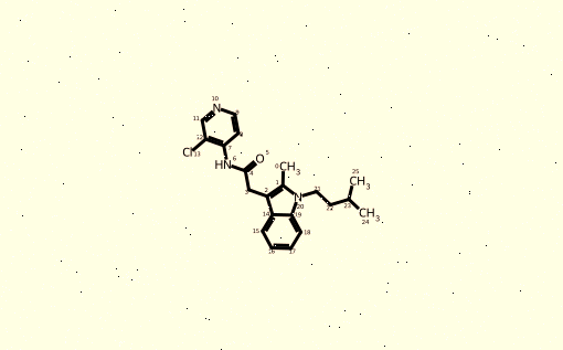 Cc1c(CC(=O)Nc2ccncc2Cl)c2ccccc2n1CCC(C)C